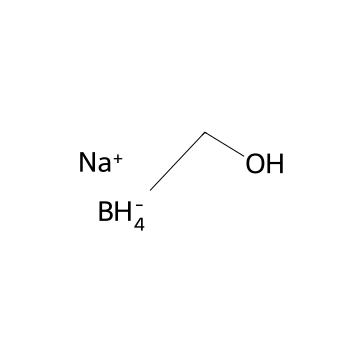 CCO.[BH4-].[Na+]